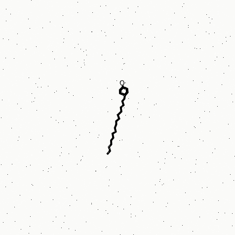 CCCCCCCCCCCCCCCCCCc1ccc([O])cc1